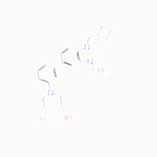 CN1SN(CC2CCC2)c2ccc(-c3cccc(N4CCS(O)(O)CC4)c3)cc21